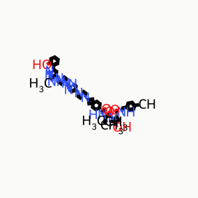 C#Cc1ccc(CNC(=O)[C@@H]2C[C@@H](O)CN2C(=O)[C@@H](NC(=O)[C@H]2CCC3(CC2)C[C@H](N2CCN(c4cnc(N5CCN(c6cc(-c7ccccc7O)nnc6NC)CC5)nc4)CC2)C3)C(C)(C)C)cc1